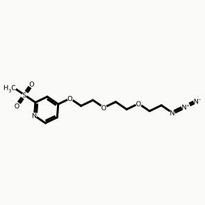 CS(=O)(=O)c1cc(OCCOCCOCCN=[N+]=[N-])ccn1